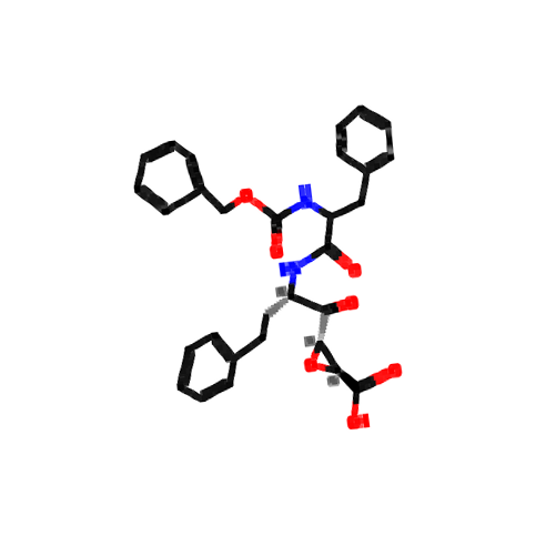 O=C(NC(Cc1ccccc1)C(=O)N[C@@H](CCc1ccccc1)C(=O)[C@H]1O[C@@H]1C(=O)O)OCc1ccccc1